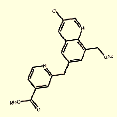 COC(=O)c1ccnc(Cc2cc(COC(C)=O)c3ncc(Cl)cc3c2)c1